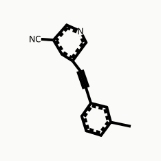 Cc1cccc(C#Cc2cncc(C#N)c2)c1